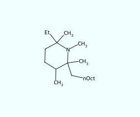 CCCCCCCCCC1(C)C(C)CCC(C)(CC)N1C